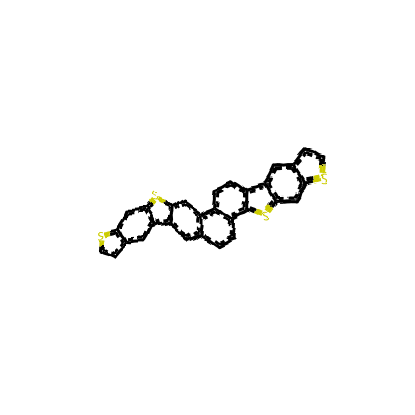 c1cc2cc3c(cc2s1)sc1cc2c(ccc4c2ccc2c5cc6ccsc6cc5sc24)cc13